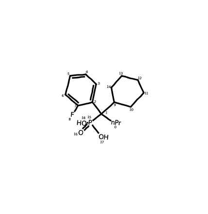 CCCC(c1ccccc1F)(C1CCCCC1)P(=O)(O)O